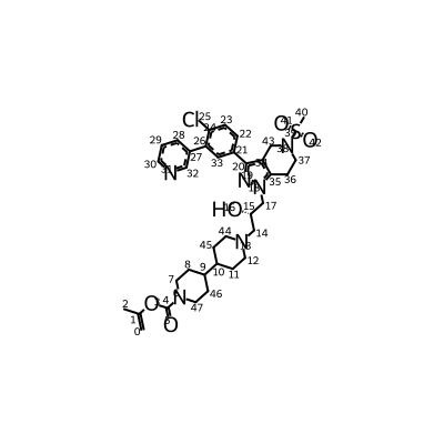 C=C(C)OC(=O)N1CCC(C2CCN(C[C@H](O)Cn3nc(-c4ccc(Cl)c(-c5cccnc5)c4)c4c3CCN(S(C)(=O)=O)C4)CC2)CC1